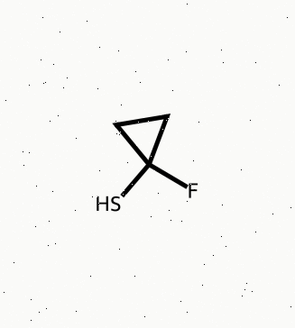 FC1(S)CC1